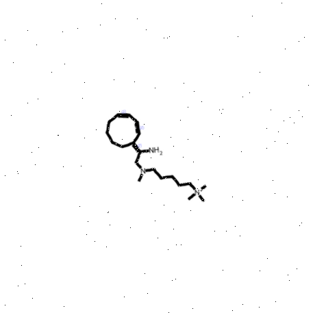 CN(CCCCC[N+](C)(C)C)C/C(N)=C1/C=C\C=C/CCCC1